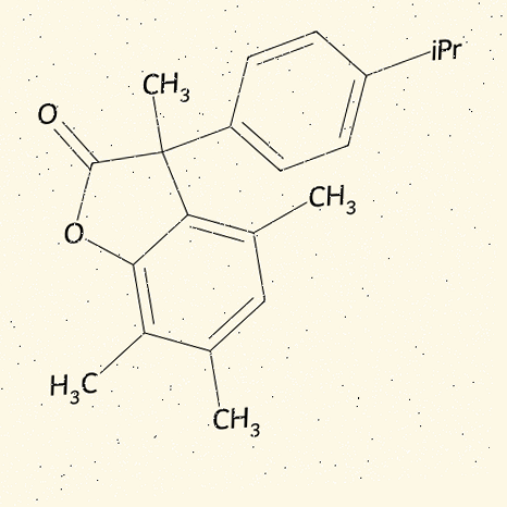 Cc1cc(C)c2c(c1C)OC(=O)C2(C)c1ccc(C(C)C)cc1